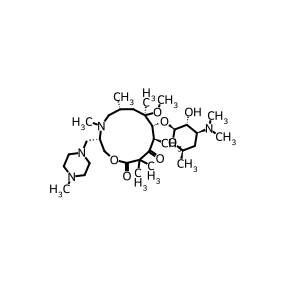 CO[C@]1(C)C[C@@H](C)CN(C)[C@@H](CN2CCN(C)CC2)COC(=O)C(C)(C)C(=O)[C@H](C)[C@H]1O[C@@H]1O[C@H](C)C[C@H](N(C)C)[C@H]1O